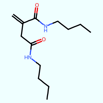 C=C(CC(=O)NCCCC)C(=O)NCCCC